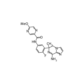 COc1cnc(C(=O)Nc2ccc(F)c(C3(C)Cn4ccnc4C(N)=N3)c2)cn1